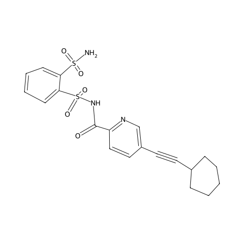 NS(=O)(=O)c1ccccc1S(=O)(=O)NC(=O)c1ccc(C#CC2CCCCC2)cn1